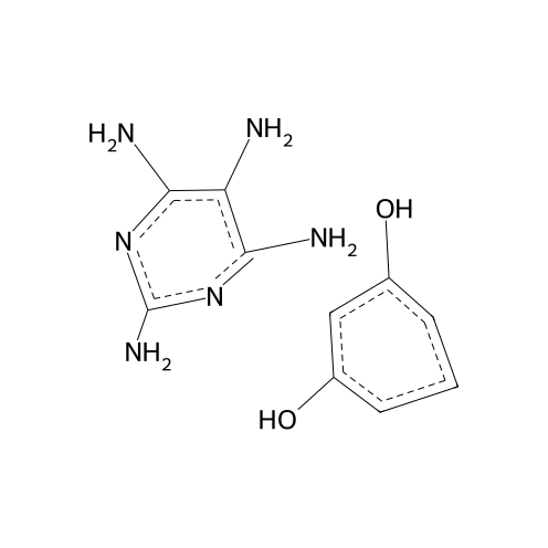 Nc1nc(N)c(N)c(N)n1.Oc1cccc(O)c1